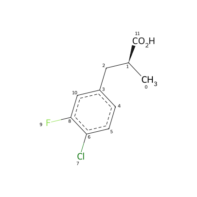 C[C@@H](Cc1ccc(Cl)c(F)c1)C(=O)O